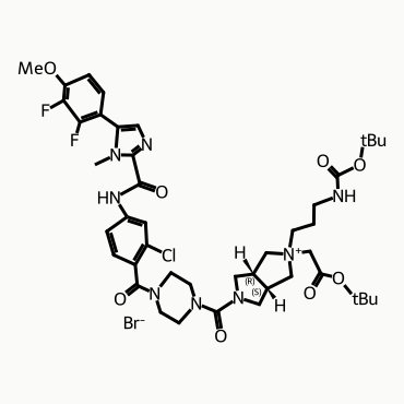 COc1ccc(-c2cnc(C(=O)Nc3ccc(C(=O)N4CCN(C(=O)N5C[C@@H]6C[N+](CCCNC(=O)OC(C)(C)C)(CC(=O)OC(C)(C)C)C[C@@H]6C5)CC4)c(Cl)c3)n2C)c(F)c1F.[Br-]